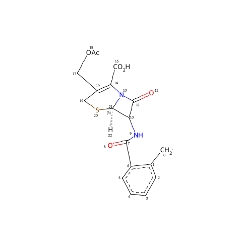 [CH2]c1ccccc1C(=O)NC1C(=O)N2C(C(=O)O)=C(COC(C)=O)CS[C@H]12